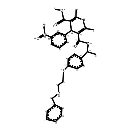 COC(=O)C1=C(C)NC(C)=C(C(=O)OC(C)c2ccc(SCCOCc3ccccc3)cc2)C1c1cccc([N+](=O)[O-])c1